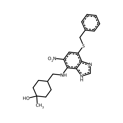 CC1(O)CCC(CNc2c([N+](=O)[O-])cc(SCc3ccccc3)c3nc[nH]c23)CC1